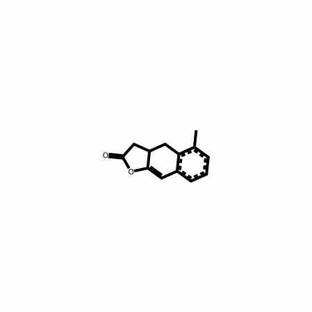 Cc1cccc2c1CC1CC(=O)OC1=C2